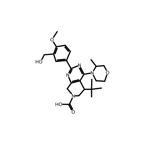 COc1ccc(-c2nc3c(c(N4CCOCC4C)n2)C(C(C)(C)C)CN(C(=O)O)C3)cc1CO